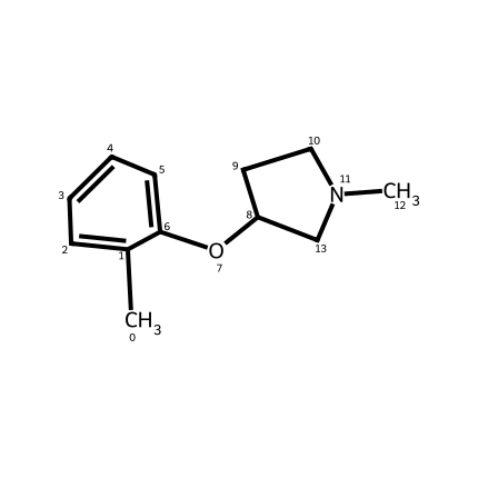 Cc1ccccc1OC1CCN(C)C1